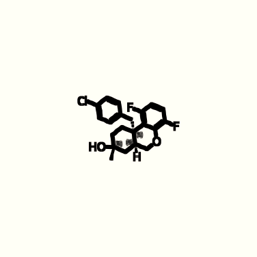 C[C@@]1(O)CC[C@@]2(Cc3ccc(Cl)cc3)c3c(F)ccc(F)c3OC[C@H]2C1